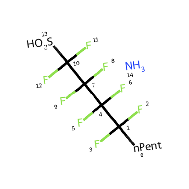 CCCCCC(F)(F)C(F)(F)C(F)(F)C(F)(F)S(=O)(=O)O.N